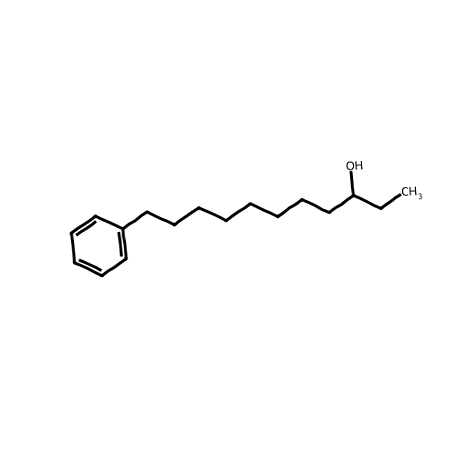 CCC(O)CCCCCCCCc1ccccc1